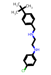 CC(C)(C)c1ccc(CNCCNc2ccc(Cl)cc2)cc1